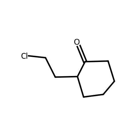 O=C1CCCCC1CCCl